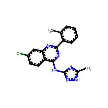 Cc1nc(Nc2nc(-c3ccccc3C(F)(F)F)nc3cc(Cl)ccc23)n[nH]1